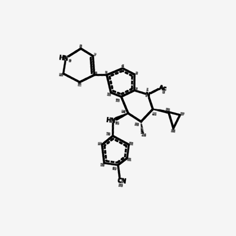 CC(=O)N1c2ccc(C3=CCNCC3)cc2[C@H](Nc2ccc(C#N)cc2)[C@@H](C)[C@@H]1C1CC1